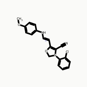 COc1ccc(N/C=C/C2=C(C#N)N(c3ccccc3Cl)CO2)cc1